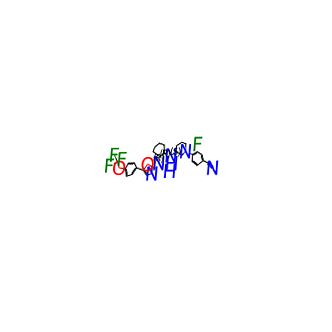 N#Cc1ccc(N2CCC[C@H](N[C@@H]3CCCC[C@H]3Nc3ncc(-c4ccc(OC(F)(F)F)cc4)o3)C2)c(F)c1